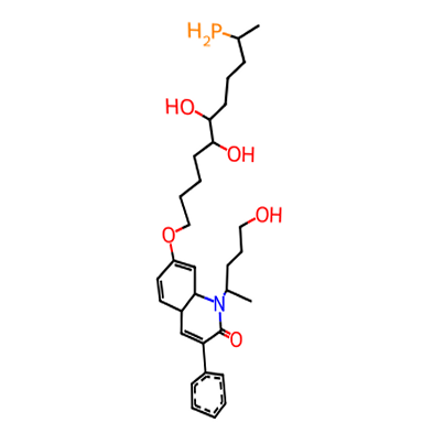 CC(P)CCCC(O)C(O)CCCCOC1=CC2C(C=C1)C=C(c1ccccc1)C(=O)N2C(C)CCCO